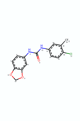 O=C(Nc1ccc2c(c1)OCO2)Nc1ccc(Cl)c(C(F)(F)F)c1